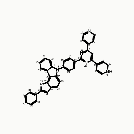 C1=CC(c2cc(-c3ccncc3)nc(-c3ccc(-n4c5ccccc5c5c6sc(-c7ccccc7)cc6ccc54)cc3)n2)=CCN1